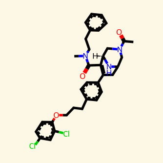 CC(=O)N1CC2CC(c3ccc(CCCOc4ccc(Cl)cc4Cl)cc3)=C(C(=O)N(C)CCc3ccccc3)[C@@H](C1)N2